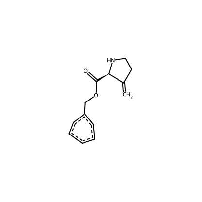 C=C1CCN[C@@H]1C(=O)OCc1ccccc1